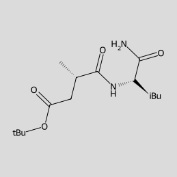 CC[C@H](C)[C@H](NC(=O)[C@@H](C)CC(=O)OC(C)(C)C)C(N)=O